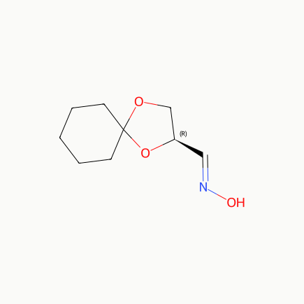 ON=C[C@@H]1COC2(CCCCC2)O1